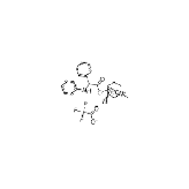 C[N+]12CCC(CC1)[C@@H](OC(=O)C(Nc1ccccc1)c1ccccc1)C2.O=C([O-])C(F)(F)F